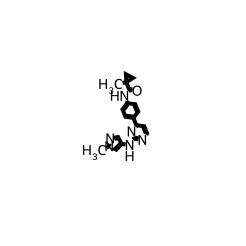 Cn1cc(Nc2nccc(-c3ccc(NC(=O)C4(C)CC4)cc3)n2)cn1